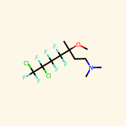 COC(C)(CCN(C)C)C(F)(F)C(F)(F)C(F)(Cl)C(F)(F)Cl